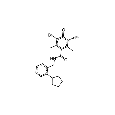 CCCn1c(C)c(C(=O)NCc2ccccc2C2CCCC2)c(C)c(Br)c1=O